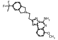 COc1cccc2c1nc(N)n1nc(CCN3Cc4ccc(C(F)(F)F)cc4C3)nc21